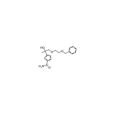 CC(O)(COCCOCc1ccccc1)c1ccc([S+](N)[O-])s1